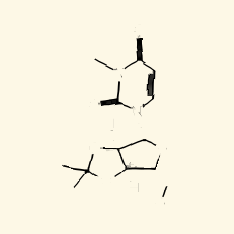 Cn1c(=O)ccn([C@@H]2O[C@H](CO)[C@H]3OC(C)(C)O[C@H]32)c1=O